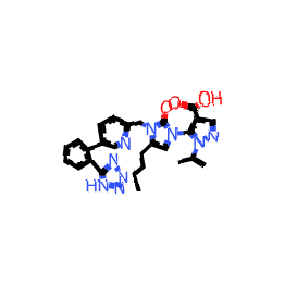 CCCCc1cn(-c2c(C(=O)O)cnn2C(C)C)c(=O)n1Cc1ccc(-c2ccccc2-c2nnn[nH]2)cn1